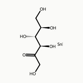 O=C(CO)[C@H](O)[C@H](O)[C@H](O)CO.[Sn]